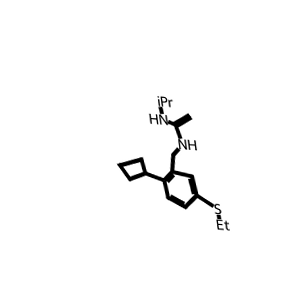 C=C(NCc1cc(SCC)ccc1C1CCC1)NC(C)C